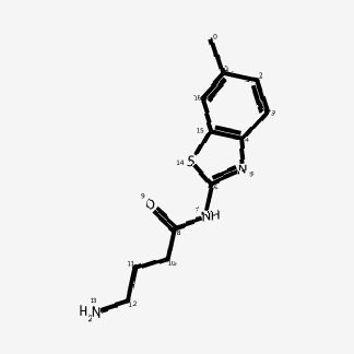 Cc1ccc2nc(NC(=O)CCCN)sc2c1